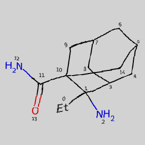 CCC1(N)C2CC3CC(C2)CC1(C(N)=O)C3